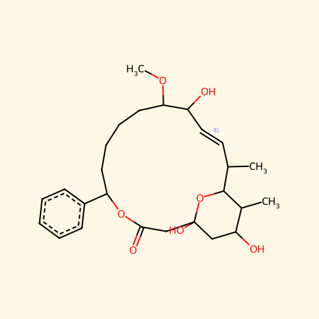 COC1CCCCC(c2ccccc2)OC(=O)CC2(O)CC(O)C(C)C(O2)C(C)/C=C/C1O